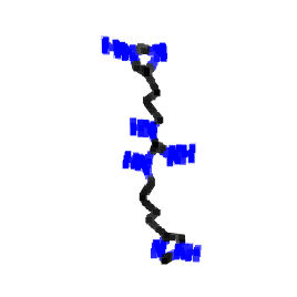 N=C(NCCCCc1c[nH]cn1)NCCCc1c[nH]cn1